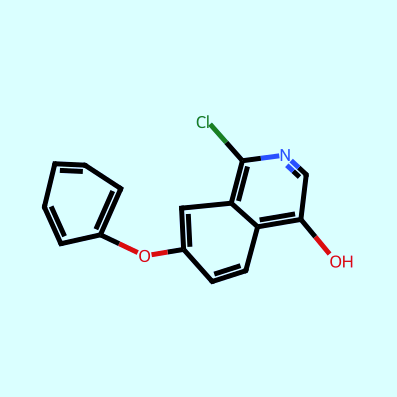 Oc1cnc(Cl)c2cc(Oc3ccccc3)ccc12